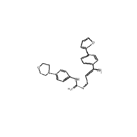 C=C(/N=C\C=C(/N)c1ccc(-c2ccco2)cc1)Nc1ccc(N2CCOCC2)cc1